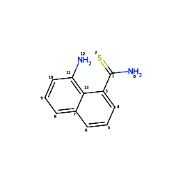 NC(=S)c1cccc2cccc(N)c12